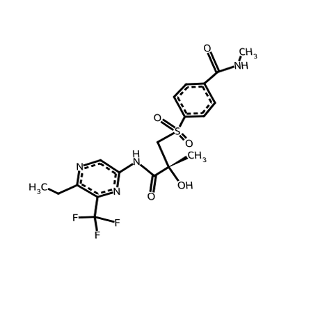 CCc1ncc(NC(=O)[C@@](C)(O)CS(=O)(=O)c2ccc(C(=O)NC)cc2)nc1C(F)(F)F